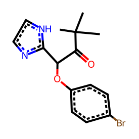 CC(C)(C)C(=O)C(Oc1ccc(Br)cc1)c1ncc[nH]1